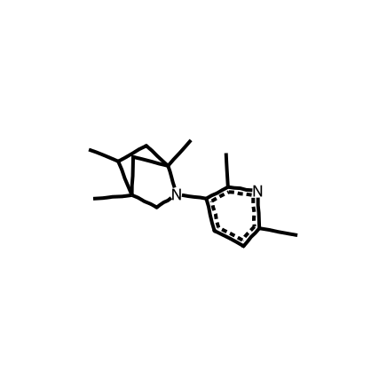 Cc1ccc(N2CC3(C)CC2(C)CC3C)c(C)n1